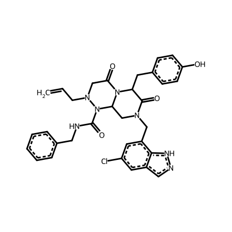 C=CCN1CC(=O)N2C(Cc3ccc(O)cc3)C(=O)N(Cc3cc(Cl)cc4cn[nH]c34)CC2N1C(=O)NCc1ccccc1